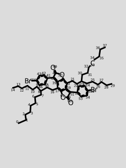 CCCCCCCCC(CCCCCC)CCc1c2c(c(CCC(CCCCCC)CCCCCCCC)c3c1=C(c1ccc(Br)cc1)C(=O)O3)=C(c1ccc(Br)cc1)C(=O)O2